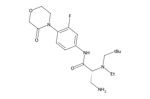 CCN(CC(C)(C)C)[C@H](CN)C(=O)Nc1ccc(N2CCOCC2=O)c(F)c1